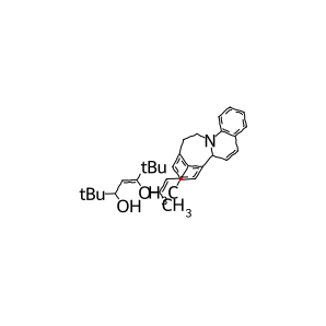 C/C(=C\Cc1c2cc(C)cc1C1C=Cc3ccccc3N1CC2)O/C(=C\C(O)C(C)(C)C)C(C)(C)C